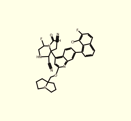 N#CCC1(c2cc(OCC34CCCN3CCC4)nc3cc(-c4cccc5ccc(F)c(Cl)c45)ccc23)C(C#N)NCC(F)N1C(=O)O